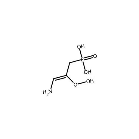 N/C=C(/CP(=O)(O)O)OO